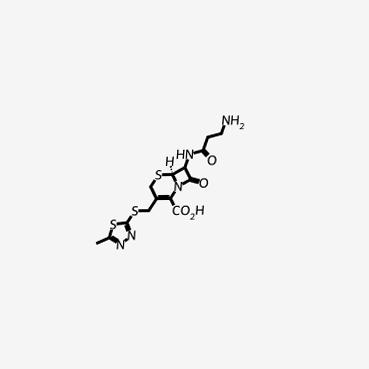 Cc1nnc(SCC2=C(C(=O)O)N3C(=O)C(NC(=O)CCN)[C@@H]3SC2)s1